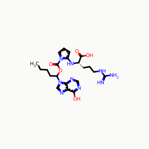 CCCCC(OC(=O)n1cccc1N[C@@H](CCCNC(=N)N)C(=O)O)n1cnc2c(O)ncnc21